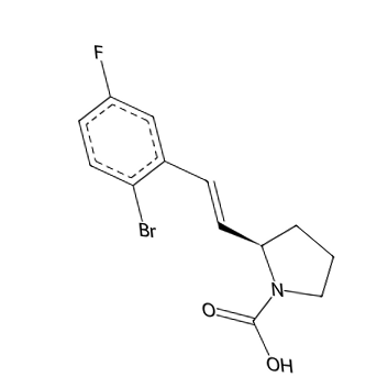 O=C(O)N1CCC[C@@H]1/C=C/c1cc(F)ccc1Br